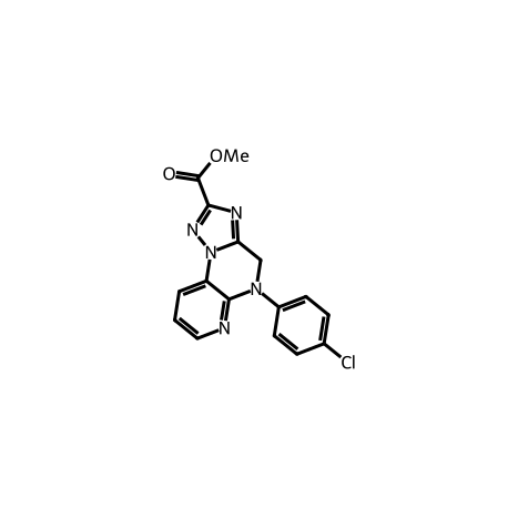 COC(=O)c1nc2n(n1)-c1cccnc1N(c1ccc(Cl)cc1)C2